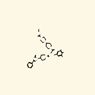 CCOC(=O)N1CCN(C2CCN(C(=O)[C@@H](Cc3cc(C)c(O)c(C)c3)OC(=O)N3CCC(n4nc(-c5ccccc5)[nH]c4=O)CC3)CC2)CC1